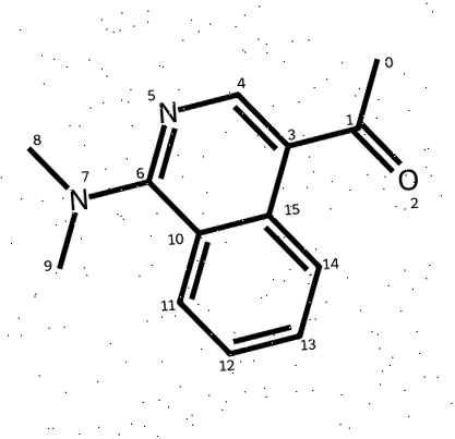 CC(=O)c1cnc(N(C)C)c2ccccc12